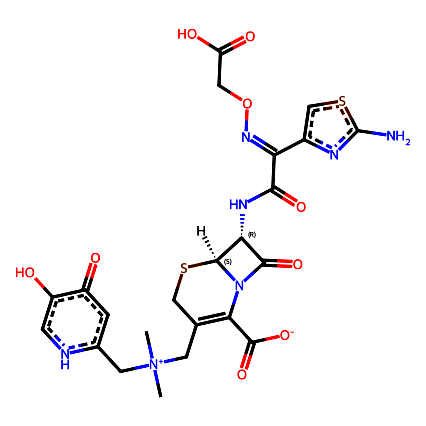 C[N+](C)(CC1=C(C(=O)[O-])N2C(=O)[C@@H](NC(=O)C(=NOCC(=O)O)c3csc(N)n3)[C@@H]2SC1)Cc1cc(=O)c(O)c[nH]1